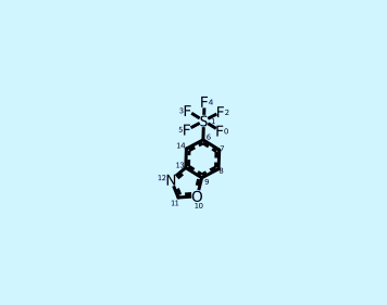 FS(F)(F)(F)(F)c1ccc2ocnc2c1